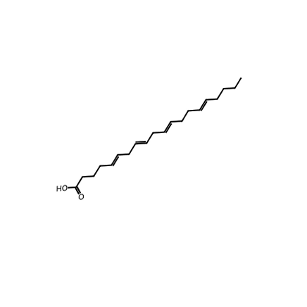 CCCCC=CCCC=CCC=CCC=CCCCC(=O)O